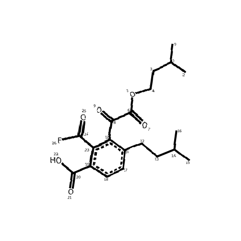 CC(C)CCOC(=O)C(=O)c1c(CCC(C)C)ccc(C(=O)O)c1C(=O)F